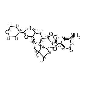 CC(Oc1nc(N2CCC(C)C2(C)C)c(C(=O)NS(=O)(=O)c2cccc(N)n2)cc1F)C1CCOCC1